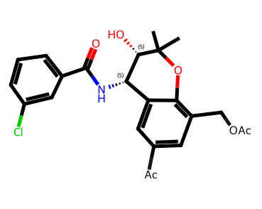 CC(=O)OCc1cc(C(C)=O)cc2c1OC(C)(C)[C@@H](O)[C@H]2NC(=O)c1cccc(Cl)c1